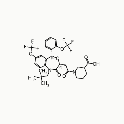 CC(C)(C)CN1C(=O)[C@H](CC(=O)N2CCCC(C(=O)O)C2)O[C@@H](c2ccccc2OC(F)(F)F)c2cc(OC(F)(F)F)ccc21